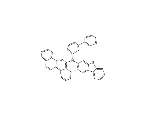 c1ccc(-c2cccc(N(c3ccc4c(c3)sc3ccccc34)c3cc4c5ccccc5ccc4c4ccccc34)c2)cc1